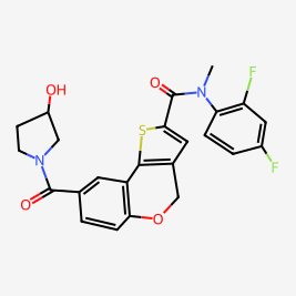 CN(C(=O)c1cc2c(s1)-c1cc(C(=O)N3CCC(O)C3)ccc1OC2)c1ccc(F)cc1F